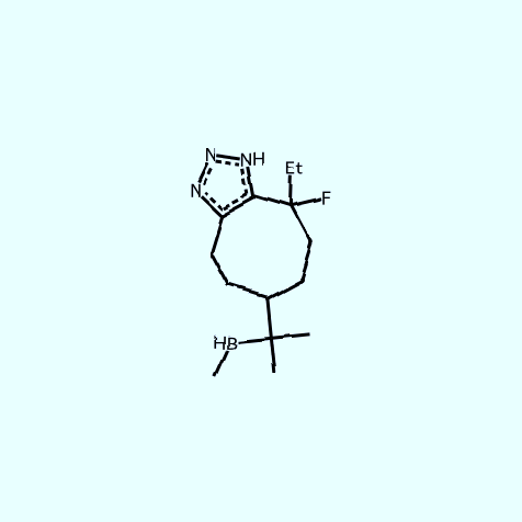 CBC(C)(C)C1CCc2nn[nH]c2C(F)(CC)CC1